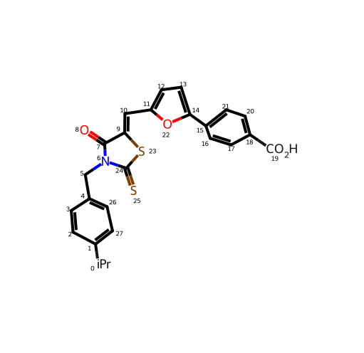 CC(C)c1ccc(CN2C(=O)C(=Cc3ccc(-c4ccc(C(=O)O)cc4)o3)SC2=S)cc1